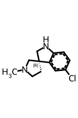 CN1CC[C@@]2(CNc3ccc(Cl)cc32)C1